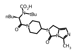 CCCC[C@H](C(=O)N1CCC(N2Cc3cnc(C)n3C2=O)CC1)N(C(=O)O)C(C)(C)C